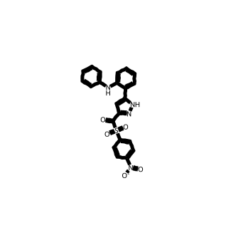 O=C(c1cc(-c2ccccc2Nc2ccccc2)[nH]n1)S(=O)(=O)c1ccc([N+](=O)[O-])cc1